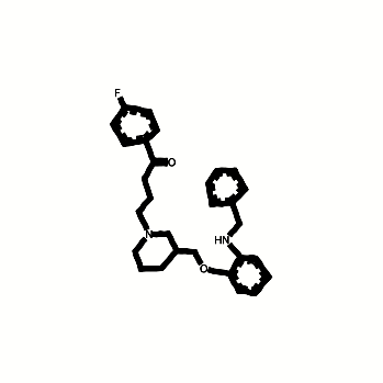 O=C(CCCN1CCCC(COc2ccccc2NCc2ccccc2)C1)c1ccc(F)cc1